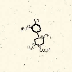 C[C@@H]1CN(c2ccc(C#N)c(OC(C)(C)C)c2)[C@@H](C)CN1C(=O)O